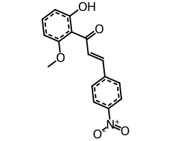 COc1cccc(O)c1C(=O)/C=C/c1ccc([N+](=O)[O-])cc1